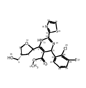 COC(=O)C1=C(C2C[C@H](CO)CO2)NC(c2nccs2)=NC1c1cccc(F)c1Cl